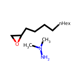 CCCCCCCCCCC1CO1.CN(C)N